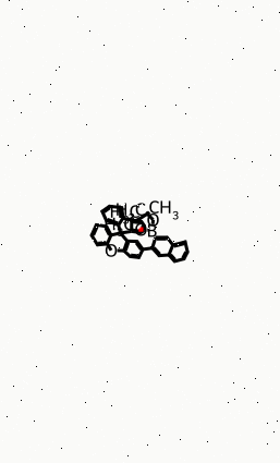 CC1(C)OB(c2cc3ccccc3cc2-c2ccc3c(c2)C2(c4ccccc4O3)c3ccccc3-c3ccccc32)OC1(C)C